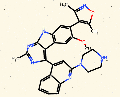 COc1cc2c(cc1-c1c(C)noc1C)[nH]c1nc(C)nc(-c3cc(N4CCNCC4)nc4ccccc34)c12